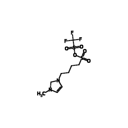 CN1C=CN(CCCCS(=O)(=O)OS(=O)(=O)C(F)(F)F)C1